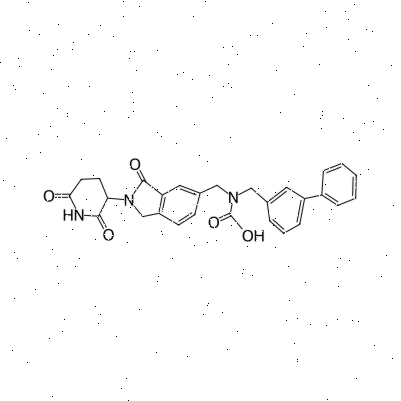 O=C1CCC(N2Cc3ccc(CN(Cc4cccc(-c5ccccc5)c4)C(=O)O)cc3C2=O)C(=O)N1